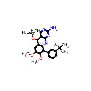 COc1cc(C(O[SiH](C)C)c2cnc(N)nc2N)cc(-c2cccc(C(C)(C)C)c2)c1OC